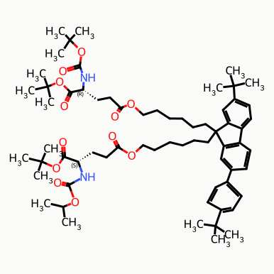 CC(C)OC(=O)N[C@@H](CCC(=O)OCCCCCCC1(CCCCCCOC(=O)CC[C@@H](NC(=O)OC(C)(C)C)C(=O)OC(C)(C)C)c2cc(-c3ccc(C(C)(C)C)cc3)ccc2-c2ccc(C(C)(C)C)cc21)C(=O)OC(C)(C)C